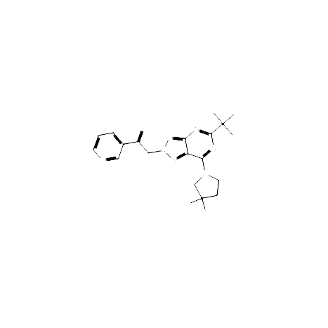 CC(C)(C)c1nc(N2CCC(F)(F)C2)c2nn(CC(=O)c3cccnc3)nc2n1